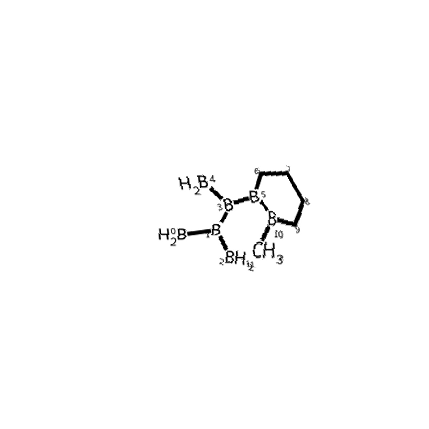 BB(B)B(B)B1CCCCB1C